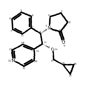 O=C1CCCN1[C@@H](c1ccccc1)[C@H](OCC1CC1)c1ccncc1